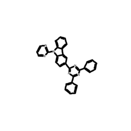 c1ccc(-c2nc(-c3ccccc3)nc(-c3ccc4c(c3)c3ccccc3n4-c3ncccn3)n2)cc1